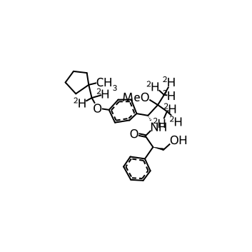 [2H]C([2H])([2H])C(OC)([C@H](NC(=O)[C@@H](CO)c1ccccc1)c1ccc(OC([2H])([2H])C2(C)CCCC2)cc1)C([2H])([2H])[2H]